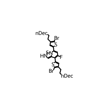 CCCCCCCCCCCCc1cc(C2=CC(F)=C(c3cc(CCCCCCCCCCCC)c(Br)s3)C3=CNSN32)sc1Br